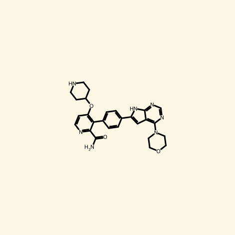 NC(=O)c1nccc(OC2CCNCC2)c1-c1ccc(-c2cc3c(N4CCOCC4)ncnc3[nH]2)cc1